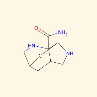 NC(=O)C12NCC3CC1CNC2C3